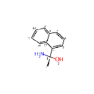 C[C@](N)(O)c1cccc2ccccc12